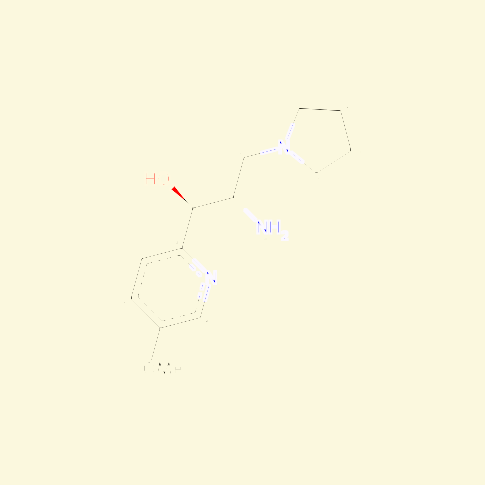 COc1ccc([C@@H](O)C(N)CN2CCCC2)nc1